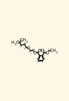 CCOC(=O)c1ccccc1C(=O)OCCOCCCC(C)C